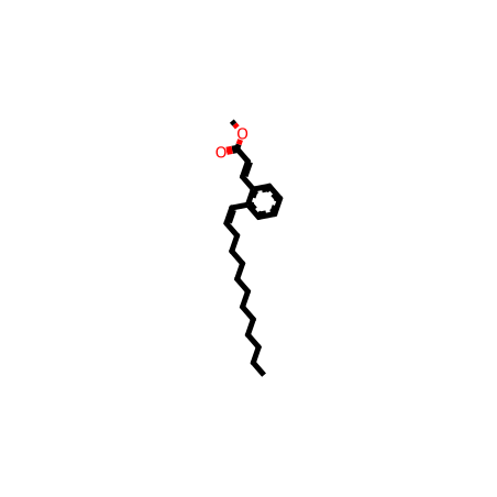 CCCCCCCCCCC/C=C\c1ccccc1/C=C/C(=O)OC